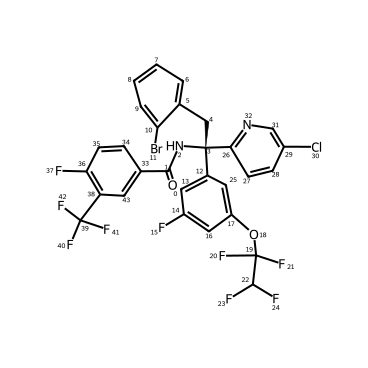 O=C(N[C@@](Cc1ccccc1Br)(c1cc(F)cc(OC(F)(F)C(F)F)c1)c1ccc(Cl)cn1)c1ccc(F)c(C(F)(F)F)c1